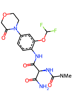 CNC(=O)N[C@@H](C(N)=O)C(=O)Nc1ccc(N2CCOCC2=O)cc1OC(F)F